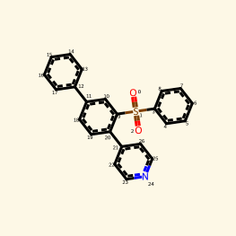 O=S(=O)(c1ccccc1)c1cc(-c2ccccc2)ccc1-c1ccncc1